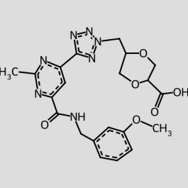 COc1cccc(CNC(=O)c2cc(-c3nnn(CC4COC(C(=O)O)CO4)n3)nc(C)n2)c1